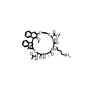 COC(=O)[C@@H]1CC=CCc2cc3ccccc3c(c2OC)-c2c(OC)c(cc3ccccc23)CC(NC(C)=O)C(=O)N[C@@H](C)C(=O)N[C@@H](CCCCN)C(=O)N1